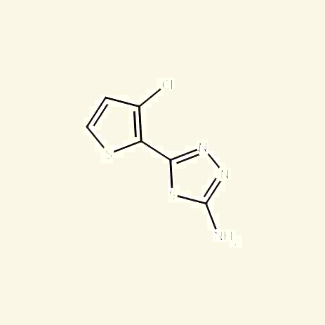 Nc1nnc(-c2sccc2Cl)s1